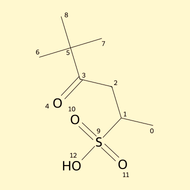 CC(CC(=O)C(C)(C)C)S(=O)(=O)O